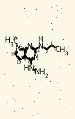 CCCNc1nc(NN)c2ccn(C)c2n1